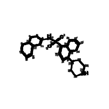 O=S(=O)(Nc1ccc2ccccc2c1)c1ccc(N2CCNCC2)c2ccccc12